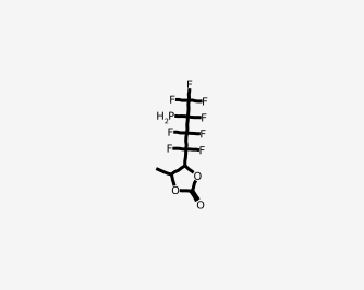 CC1OC(=O)OC1C(F)(F)C(F)(F)C(F)(P)C(F)(F)F